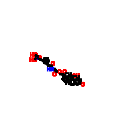 C[C@]12C[C@H](O)C3(F)[C@@H](CCC4=CC(=O)C=C[C@@]43C)C1CCC2C(=O)COC(=O)CNC(=O)Cc1cccc(CON(O)O)c1